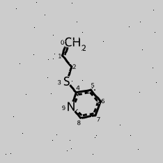 C=CCSc1[c]cccn1